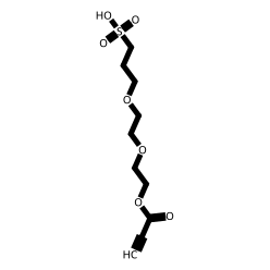 C#CC(=O)OCCOCCOCCCS(=O)(=O)O